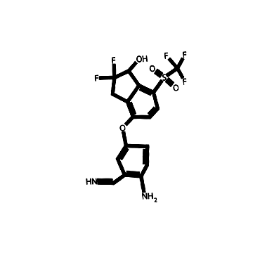 N=Cc1cc(Oc2ccc(S(=O)(=O)C(F)(F)F)c3c2CC(F)(F)C3O)ccc1N